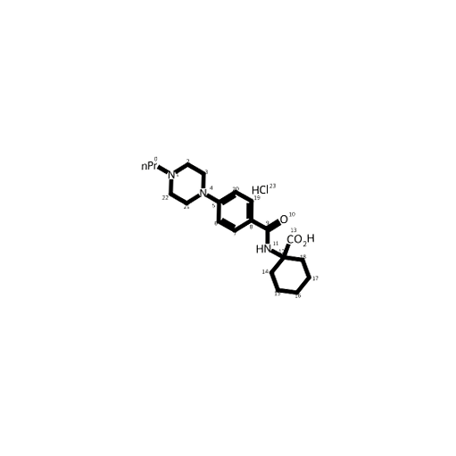 CCCN1CCN(c2ccc(C(=O)NC3(C(=O)O)CCCCC3)cc2)CC1.Cl